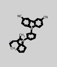 C/C=C\c1c(C)n(-c2cccc(-n3c4ccc(C#N)cc4c4cc(C#N)ccc43)c2)c2ccccc12